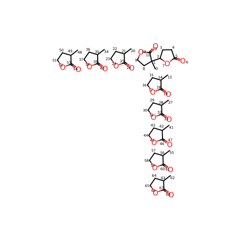 CC1(C2CCC(=O)O2)CCOC1=O.CC1CCOC1=O.CC1CCOC1=O.CC1CCOC1=O.CC1CCOC1=O.CC1CCOC1=O.CC1CCOC1=O.CC1CCOC1=O.CC1CCOC1=O